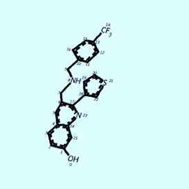 Oc1ccc2cc(CNCc3ccc(C(F)(F)F)cc3)c(-c3ccsc3)nc2c1